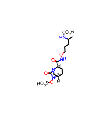 CC(CCCONC(=O)[C@@H]1CC[C@@H]2CN1C(=O)N2OS(=O)(=O)O)NC(=O)O